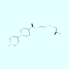 CC(C)(C)C(=O)[CH2][Y][O]CCNC(=O)C1CCN(C2CCN(C(C)(C)C)CC2)CC1